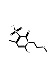 COCCn1c(O)cc(C)c(S(=O)(=O)O)c1=O